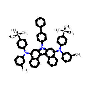 Cc1cccc(N(c2ccc([Si](C)(C)C)cc2)c2cc3c(c4ccccc24)c2c4ccccc4c(N(c4ccc([Si](C)(C)C)cc4)c4cccc(C)c4)cc2n3-c2ccc(-c3ccccc3)cc2)c1